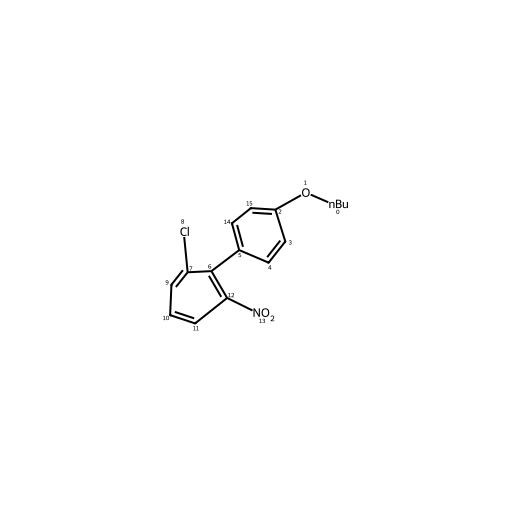 CCCCOc1ccc(-c2c(Cl)cccc2[N+](=O)[O-])cc1